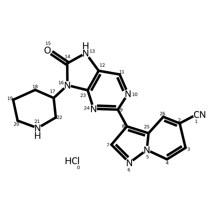 Cl.N#Cc1ccn2ncc(-c3ncc4[nH]c(=O)n(C5CCCNC5)c4n3)c2c1